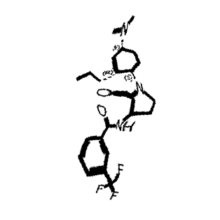 CCC[C@@H]1C[C@H](N(C)C)CC[C@@H]1N1CCC(NC(=O)c2cccc(C(F)(F)F)c2)C1=O